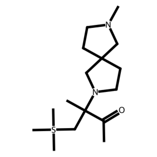 CC(=O)C(C)(CS(C)(C)C)N1CCC2(CCN(C)C2)C1